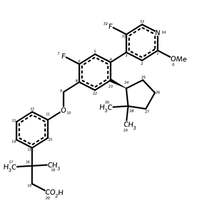 COc1cc(-c2cc(F)c(COc3cccc(C(C)(C)CC(=O)O)c3)cc2[C@H]2CCCC2(C)C)c(F)cn1